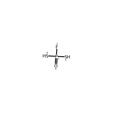 O=P(F)(S)S